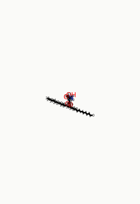 CCCCCCCCCCCCCCC(CCCCCCCCCCCCCC)OC(=O)CC[C@@H](C(=O)O)N(C)C